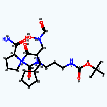 CC(C)(C)OC(=O)NCCCNC(=O)[N+]1(C(=O)[C@H](CC2CCCC2)CN(O)C=O)CCC[C@H]1C(N)=O